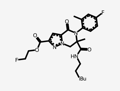 CCC(C)CCNC(=O)C1(C)Cn2nc(C(=O)OCCF)cc2C(=O)N1c1ccc(F)cc1C